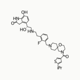 CC(C)c1cc(C(=O)N2CCOC3(CCN(Cc4cccc(CCNC[C@H](O)c5ccc(O)c6c5CC(=O)N6)c4F)CC3)C2)cs1